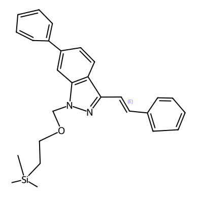 C[Si](C)(C)CCOCn1nc(/C=C/c2ccccc2)c2ccc(-c3ccccc3)cc21